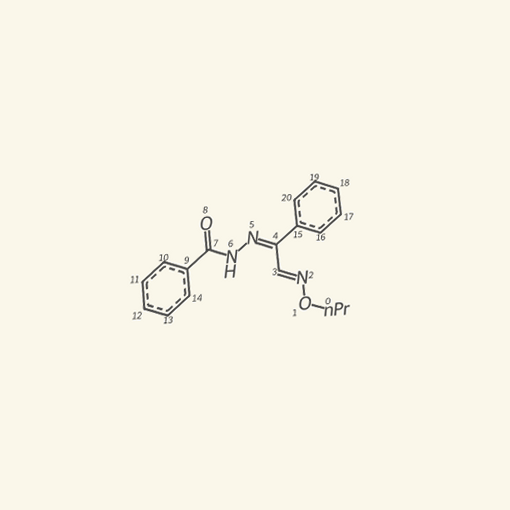 CCCO/N=C/C(=N\NC(=O)c1ccccc1)c1ccccc1